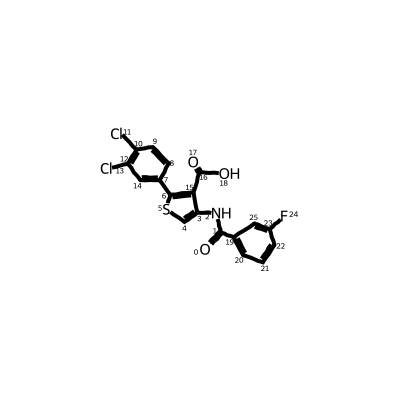 O=C(Nc1csc(-c2ccc(Cl)c(Cl)c2)c1C(=O)O)c1cccc(F)c1